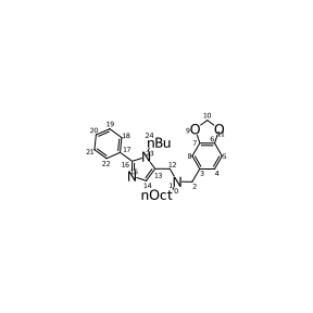 CCCCCCCCN(Cc1ccc2c(c1)OCO2)Cc1cnc(-c2ccccc2)n1CCCC